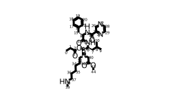 CCC(=O)OB([C@H](CC(C)C)NC(=O)[C@H](Cc1ccccc1)NC(=O)c1cnccn1)N(CCCCCCNC)CC(=O)OC